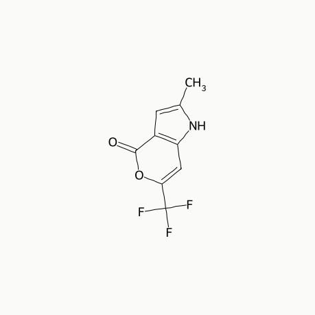 Cc1cc2c(=O)oc(C(F)(F)F)cc2[nH]1